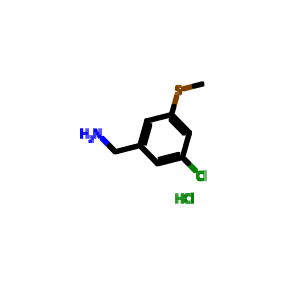 CSc1cc(Cl)cc(CN)c1.Cl